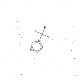 FC(F)(F)n1[c]n[c]c1